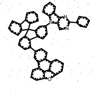 c1ccc(-c2ncc3c(n2)c2ccccc2n3-c2ccc3c(c2)C2(c4ccccc4-c4ccccc42)c2cccc(-c4ccc5c(c4)c4cccc6oc7cccc5c7c64)c2-3)cc1